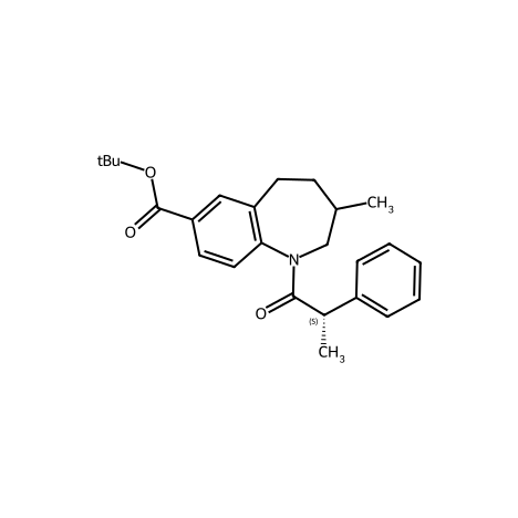 CC1CCc2cc(C(=O)OC(C)(C)C)ccc2N(C(=O)[C@@H](C)c2ccccc2)C1